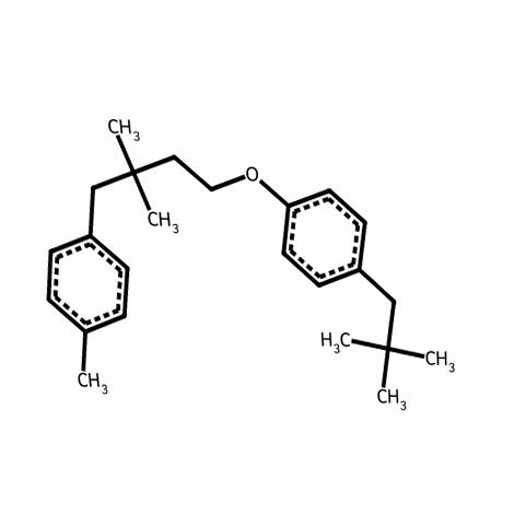 Cc1ccc(CC(C)(C)CCOc2ccc(CC(C)(C)C)cc2)cc1